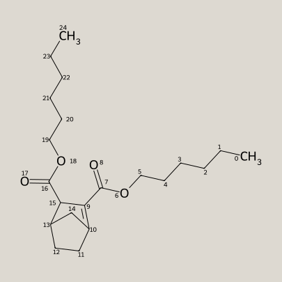 CCCCCCOC(=O)C1=C2CCC(C2)C1C(=O)OCCCCCC